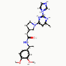 COc1ccc(C(C)NC(=O)CC2CCN(c3cc(C)nc(-n4ccnc4)n3)C2)cc1OC